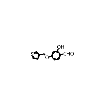 O=Cc1ccc(OCc2ccsc2)cc1O